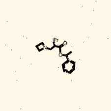 CC(OC(=O)C(CN1CCC1)C(C)C)c1ccccc1